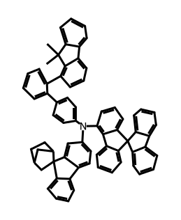 CC1(C)c2ccccc2-c2cccc(-c3ccccc3-c3ccc(N(c4ccc5c(c4)C4(CC6CCC4C6)c4ccccc4-5)c4cccc5c4-c4ccccc4C54c5ccccc5-c5ccccc54)cc3)c21